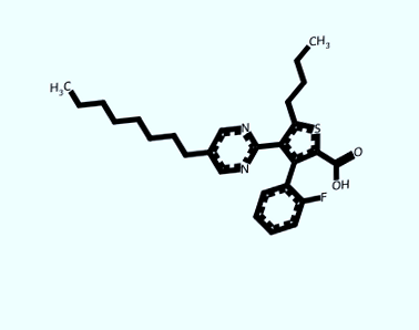 CCCCCCCCc1cnc(-c2c(CCCC)sc(C(=O)O)c2-c2ccccc2F)nc1